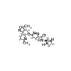 Cc1ccc(-c2noc(C)c2COc2ccc(C(=O)N[C@@H]3C[C@@H]4CC[C@@H]3O4)nn2)cn1